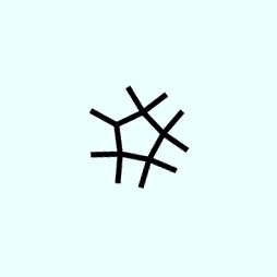 C[C]1C(C)(C)C(C)(C)C(C)(C)C1(C)C